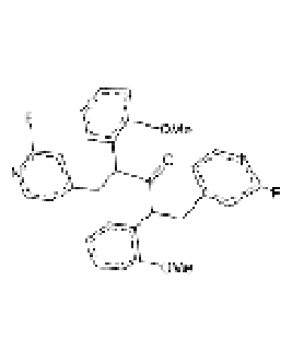 COc1ccccc1C(Cc1ccnc(F)c1)C(=O)C(Cc1ccnc(F)c1)c1ccccc1OC